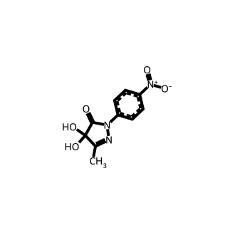 CC1=NN(c2ccc([N+](=O)[O-])cc2)C(=O)C1(O)O